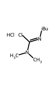 CCC(C)N=C(Cl)N(C)C.Cl